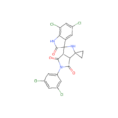 O=C1C2C(C(=O)N1c1cc(Cl)cc(Cl)c1)C1(NC23CC3)C(=O)Nc2c(Cl)cc(Cl)cc21